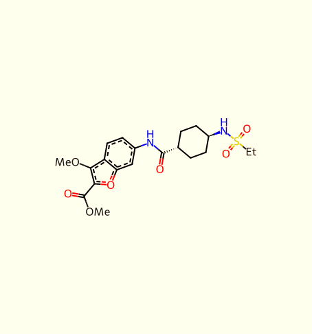 CCS(=O)(=O)N[C@H]1CC[C@H](C(=O)Nc2ccc3c(OC)c(C(=O)OC)oc3c2)CC1